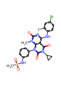 Cn1c(=O)nc(Nc2ccc(Br)cc2F)c2c(=O)n(C3CC3)c(=O)n(-c3cccc(NS(C)(=O)=O)c3)c21